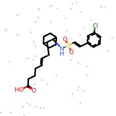 O=C(O)CCC/C=C/CC1C2CCC(CC2)C1NS(=O)(=O)/C=C/c1cccc(Cl)c1